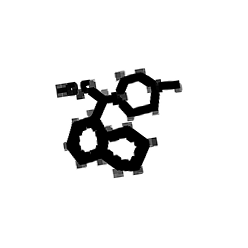 CN1CCN(C(C(=O)O)c2cccc3ccccc23)CC1